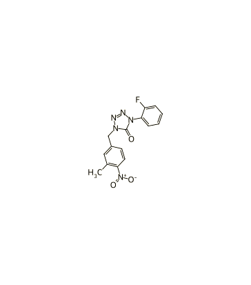 Cc1cc(Cn2nnn(-c3ccccc3F)c2=O)ccc1[N+](=O)[O-]